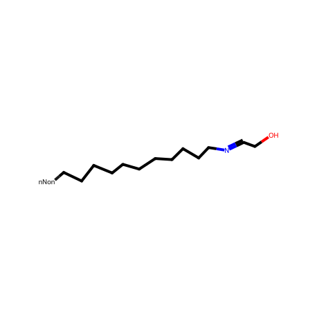 CCCCCCCCCCCCCCCCCCCCN=CCO